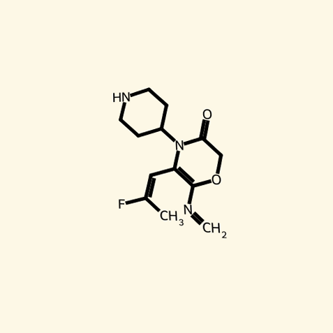 C=NC1=C(/C=C(\C)F)N(C2CCNCC2)C(=O)CO1